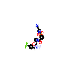 C[C@@H](NC(=O)C[C@H]1CCCN1C(=O)c1cccc(S(=O)(=O)N2CC(C#N)C2)c1)c1ccc(C(F)F)cc1